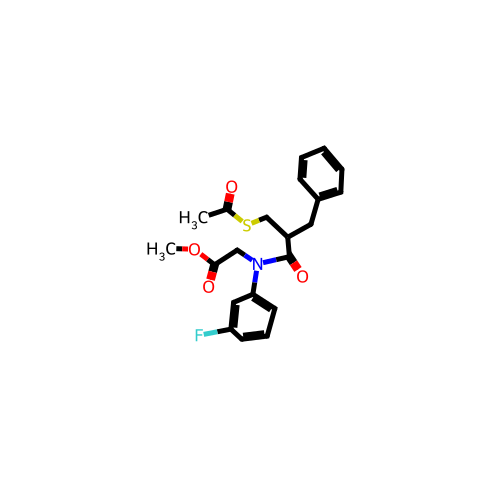 COC(=O)CN(C(=O)C(CSC(C)=O)Cc1ccccc1)c1cccc(F)c1